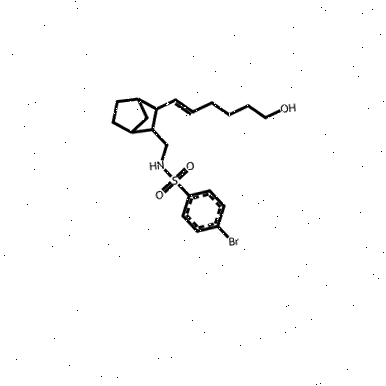 O=S(=O)(NCC1C2CCC(C2)C1C=CCCCCO)c1ccc(Br)cc1